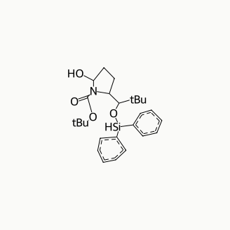 CC(C)(C)OC(=O)N1C(O)CCC1C(O[SiH](c1ccccc1)c1ccccc1)C(C)(C)C